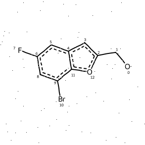 [O]Cc1cc2cc(F)cc(Br)c2o1